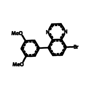 COc1cc(OC)cc(-c2ccc(Br)c3nccnc23)c1